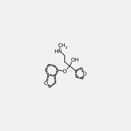 CNCCC(O)(Oc1cccc2occc12)c1ccoc1